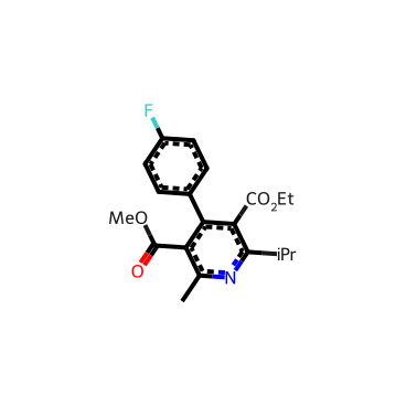 CCOC(=O)c1c(C(C)C)nc(C)c(C(=O)OC)c1-c1ccc(F)cc1